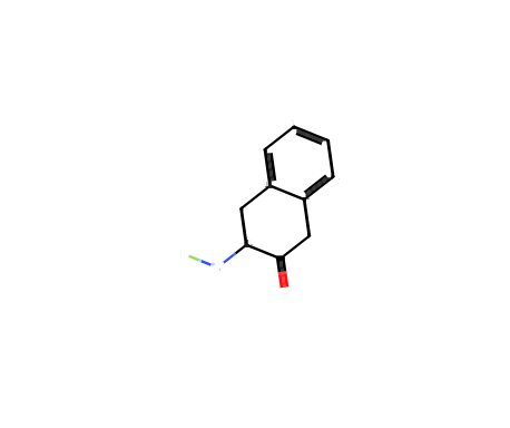 O=C1Cc2ccccc2CC1NF